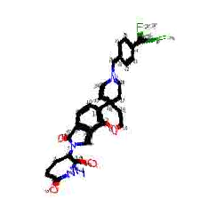 O=C1CCC(N2Cc3c(ccc4c3OCCC43CCN(Cc4ccc(C(F)F)cc4)CC3)C2=O)C(=O)N1